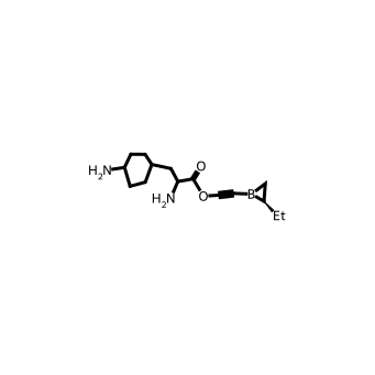 CC[C@@H]1CB1C#COC(=O)C(N)CC1CCC(N)CC1